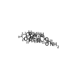 C[C@H]1CC[C@@]2(OC1)O[C@H]1C[C@H]3[C@@H]4CC[C@@H]5C[C@@H](OC(=O)CN)CC[C@]5(C)[C@H]4CC[C@]3(C)[C@H]1[C@@H]2C